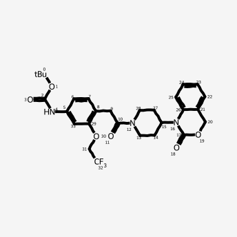 CC(C)(C)OC(=O)Nc1ccc(CC(=O)N2CCC(N3C(=O)OCc4ccccc43)CC2)c(OCC(F)(F)F)c1